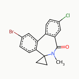 CN1C(=O)c2cc(Cl)ccc2-c2cc(Br)ccc2C12CC2